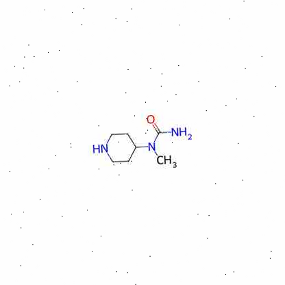 CN(C(N)=O)C1CCNCC1